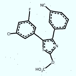 N#Cc1cccc(-c2nc(OC(=O)O)sc2-c2cc(F)cc(Cl)c2)c1